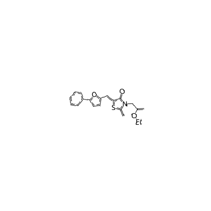 C=C(Cn1c(=C)s/c(=C\c2ccc(-c3ccccc3)o2)c1=O)OCC